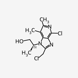 Cc1nc(Cl)c2nc(CCl)n([C@@H](C)CO)c2c1C